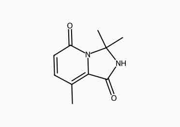 Cc1ccc(=O)n2c1C(=O)NC2(C)C